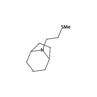 CSCCN1C2C[CH]CC1CC2